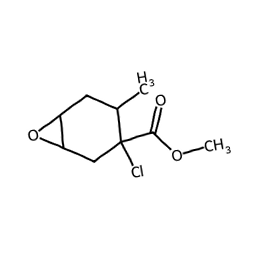 COC(=O)C1(Cl)CC2OC2CC1C